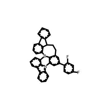 Fc1ccc(-c2cc3c4c(c2)-n2c5ccccc5c5cccc(c52)B4c2cccc4c2C(CC3)c2ccccc2-4)c(F)c1